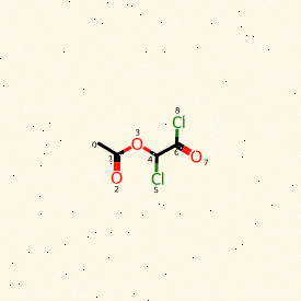 CC(=O)OC(Cl)C(=O)Cl